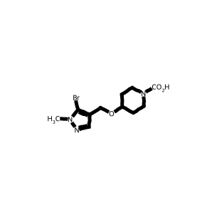 Cn1ncc(COC2CCN(C(=O)O)CC2)c1Br